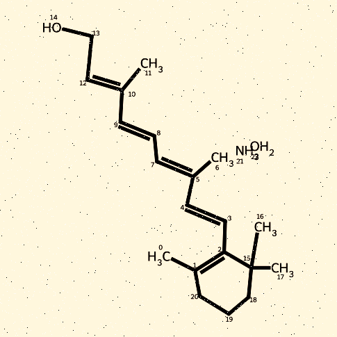 CC1=C(/C=C/C(C)=C/C=C/C(C)=C/CO)C(C)(C)CCC1.N.O